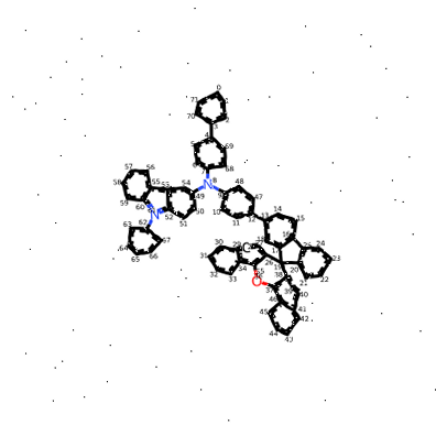 c1ccc(-c2ccc(N(c3ccc(-c4ccc5c(c4)C4(c6ccccc6-5)c5ccc6ccccc6c5Oc5c4ccc4ccccc54)cc3)c3ccc4c(c3)c3ccccc3n4-c3ccccc3)cc2)cc1